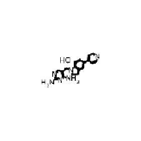 Cl.Nc1ncc(CN2CCc3cc(-c4ccncc4)ccc32)c(N)n1